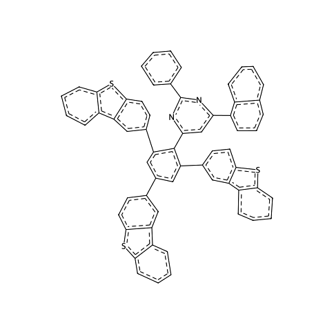 c1ccc(-c2nc(-c3c(-c4ccc5sc6ccccc6c5c4)cc(-c4ccc5sc6ccccc6c5c4)cc3-c3ccc4sc5ccccc5c4c3)cc(-c3cccc4ccccc34)n2)cc1